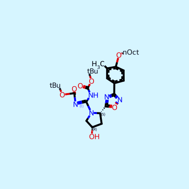 CCCCCCCCOc1ccc(-c2noc([C@@H]3C[C@@H](O)CN3/C(=N/C(=O)OC(C)(C)C)NC(=O)OC(C)(C)C)n2)cc1C